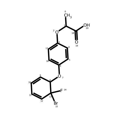 CC(Oc1ccc(OC2C=CC=CC2(F)Br)cc1)C(=O)O